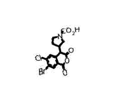 O=C1OC(=O)C(C2CCN(C(=O)O)C2)c2cc(Cl)c(Br)cc21